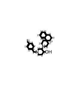 OC1CCN(Cc2ccc(I)cc2)CC1N1CCC2(CCCc3ccccc32)CC1